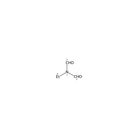 CCN([C]=O)C=O